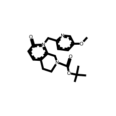 COc1ccc(Cn2c3c(ccc2=O)CCN(C(=O)OC(C)(C)C)C3)nc1